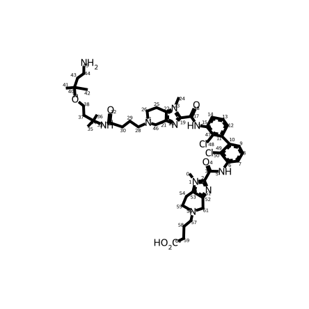 Cn1c(C(=O)Nc2cccc(-c3cccc(NC(=O)c4nc5c(n4C)CCN(CCCC(=O)NC(C)(C)CCOC(C)(C)CCN)C5)c3Cl)c2Cl)nc2c1CCN(CCCC(=O)O)C2